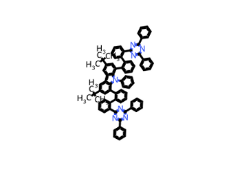 CC(C)(C)c1cc(-c2ccccc2-c2ccccc2-c2nc(-c3ccccc3)nc(-c3ccccc3)n2)c2c(c1)c1cc(C(C)(C)C)cc(-c3ccccc3-c3ccccc3-c3nc(-c4ccccc4)nc(-c4ccccc4)n3)c1n2-c1ccccc1